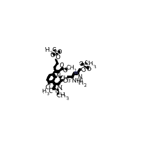 COC(=O)c1c(CCCOS(C)(=O)=O)c2ccc(Cl)c(-c3c(COCC(=N)/C=C(\N)COS(C)(=O)=O)nn(C)c3C)c2n1C